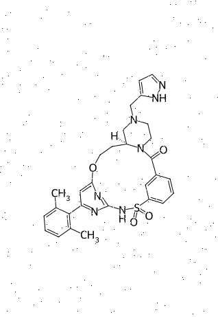 Cc1cccc(C)c1-c1cc2nc(n1)NS(=O)(=O)c1cccc(c1)C(=O)N1CCN(Cc3ccn[nH]3)C[C@@H]1CCO2